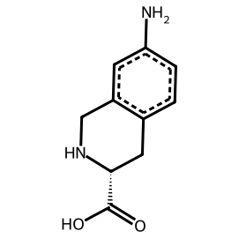 Nc1ccc2c(c1)CN[C@@H](C(=O)O)C2